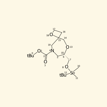 CC(C)(C)OC(=O)N1C[C@@H](CO[Si](C)(C)C(C)(C)C)OCC2(CCO2)C1